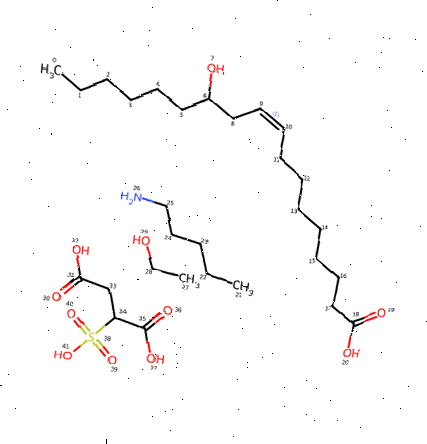 CCCCCCC(O)C/C=C\CCCCCCCC(=O)O.CCCCCN.CCO.O=C(O)CC(C(=O)O)S(=O)(=O)O